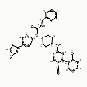 Cn1cc(-c2ccc(N(C(=O)NCc3ccccc3)[C@H]3CC[C@H](Nc4ncc(C#N)c(-c5cccnc5O)n4)CC3)nc2)cn1